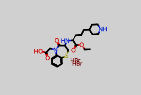 Br.Br.CCOC(=O)[C@H](CCCC1CCNCC1)NC1CSc2ccccc2N(CC(=O)O)C1=O